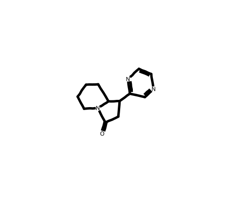 O=C1CC(c2cnccn2)C2CCCCN12